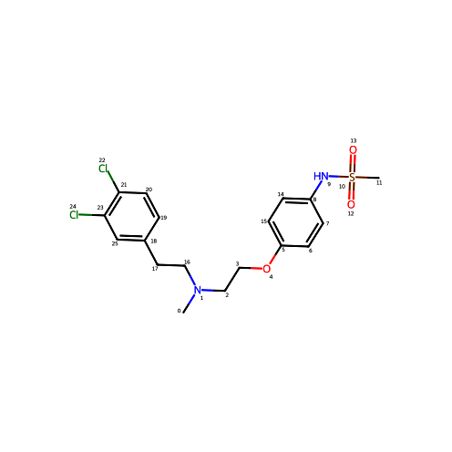 CN(CCOc1ccc(NS(C)(=O)=O)cc1)CCc1ccc(Cl)c(Cl)c1